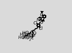 O=C(O)CCC(=O)N(CCCCc1cc(Cl)c(COC2(c3cnccc3-c3ccccc3OC3CC3)CC2)cc1Cl)C[C@H](O)[C@@H](O)[C@H](O)[C@H](O)CO